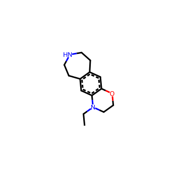 CCN1CCOc2cc3c(cc21)CCNCC3